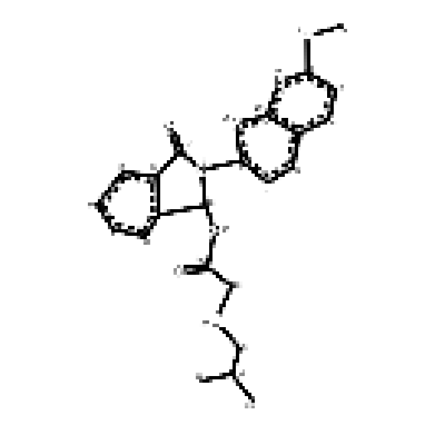 COc1ccc2ccc(N3C(=O)c4ccccc4C3OC(=O)COCC(C)C)nc2n1